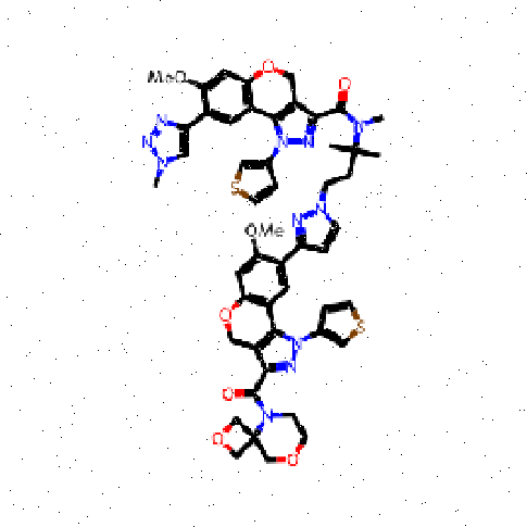 COc1cc2c(cc1-c1cn(C)nn1)-c1c(c(C(=O)N(C)C(C)(C)CCn3ccc(-c4cc5c(cc4OC)OCc4c(C(=O)N6CCOCC67COC7)nn(-c6ccsc6)c4-5)n3)nn1-c1ccsc1)CO2